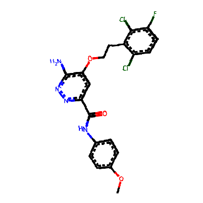 COc1ccc(NC(=O)c2cc(OCCc3c(Cl)ccc(F)c3Cl)c(N)nn2)cc1